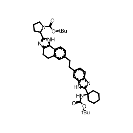 CC(C)(C)OC(=O)NC1(c2nc3ccc(CCc4ccc5c(c4)CCc4nc(C6CCCN6C(=O)OC(C)(C)C)[nH]c4-5)cc3[nH]2)CCCCC1